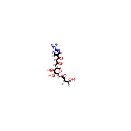 C[C@H]([C@@H]1O[C@H]1C[C@@H]1OC[C@H](CC(=O)CC(=O)c2cnc(N(C)C)nc2)[C@@H](O)[C@H]1O)[C@H](C)O